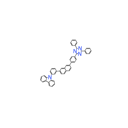 c1ccc(-c2nc(-c3ccccc3)nc(-c3ccc(-c4ccc5ccc(-c6cccc(-n7c8ccccc8c8ccccc87)c6)cc5c4)cc3)n2)cc1